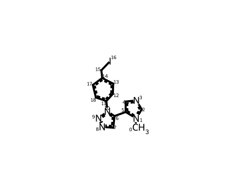 Cn1cncc1-c1cnnn1-c1ccc(CI)cc1